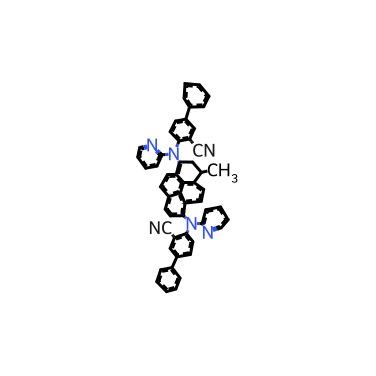 CC1CC(N(c2ccccn2)c2ccc(-c3ccccc3)cc2C#N)=c2ccc3ccc(N(c4ccccn4)c4ccc(-c5ccccc5)cc4C#N)c4ccc1c2c34